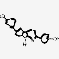 COc1ccc(-c2ccc3[nH]c4nc(-c5ccc(OC)cc5)ccc4c3c2)cc1